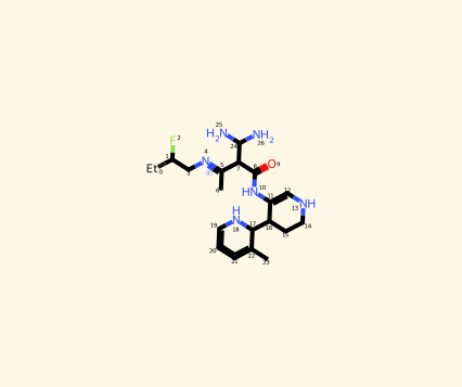 CCC(F)C/N=C(\C)C(C(=O)NC1=CNCCC1C1NC=C=C=C1C)C(N)N